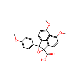 COc1ccc(C2(C(=O)O)OC2(c2ccc(OC)cc2)c2ccc(OC)cc2)cc1